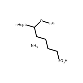 CCCCCCCC(CCCCS(=O)(=O)O)OCCC.N